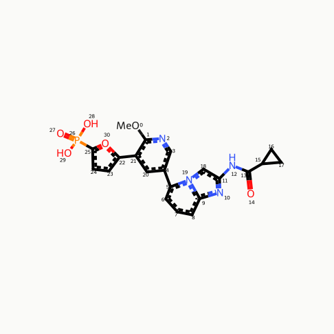 COc1ncc(-c2cccc3nc(NC(=O)C4CC4)cn23)cc1-c1ccc(P(=O)(O)O)o1